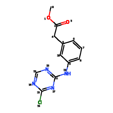 COC(=O)Cc1cccc(Nc2ncnc(Cl)n2)c1